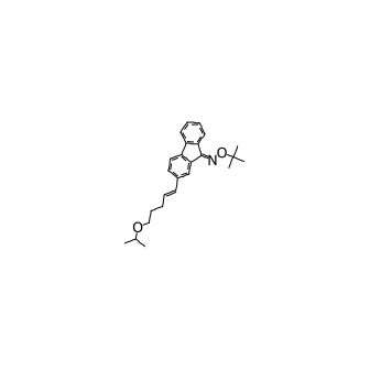 CC(C)OCCC/C=C/c1ccc2c(c1)/C(=N/OC(C)(C)C)c1ccccc1-2